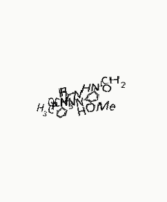 C=CC(=O)Nc1ccc(OC)c(Nc2ncc(F)c(Nc3ccccc3P(C)(C)=O)n2)c1